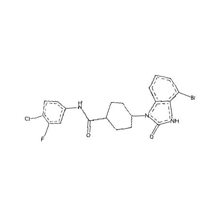 O=C(Nc1ccc(Cl)c(F)c1)C1CCC(n2c(=O)[nH]c3c(Br)cccc32)CC1